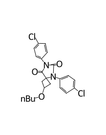 CCCCOC1CC2(C1)C(=O)N(c1ccc(Cl)cc1)C(=O)N2c1ccc(Cl)cc1